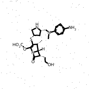 C[C@H]1C(S[C@@H]2CN[C@H](CN(C)c3ccc(N)cc3)C2)=C(OC(=O)O)N2C(=O)[C@@H](CCO)[C@@H]12